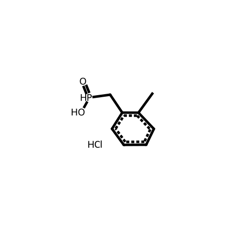 Cc1ccccc1C[PH](=O)O.Cl